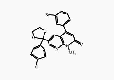 Cn1c(=O)cc(-c2cccc(Br)c2)c2cc(C3(c4ccc(Cl)cc4)OCCO3)cnc21